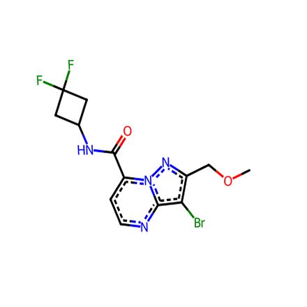 COCc1nn2c(C(=O)NC3CC(F)(F)C3)ccnc2c1Br